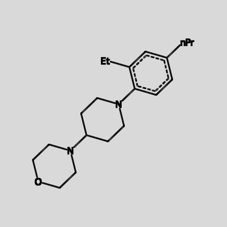 CCCc1ccc(N2CCC(N3CCOCC3)CC2)c(CC)c1